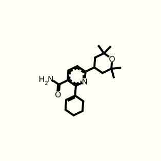 CC1(C)CC(c2ccc(C(N)=O)c(C3=CCCCC3)n2)CC(C)(C)O1